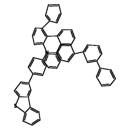 c1ccc(-c2cccc(-c3ccc(N(c4ccc(-c5ccc6sc7ccccc7c6c5)cc4)c4cccc(-c5ccccc5)c4-c4ccccc4-c4ccccc4)cc3)c2)cc1